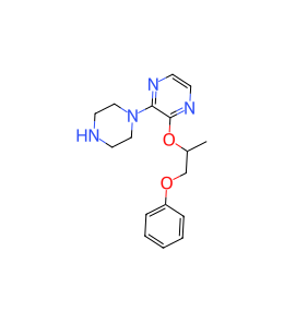 CC(COc1ccccc1)Oc1nccnc1N1CCNCC1